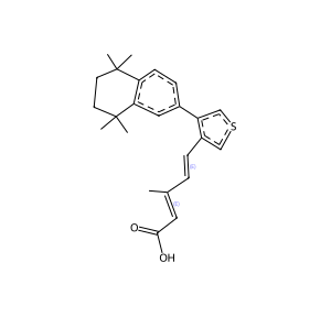 CC(/C=C/c1cscc1-c1ccc2c(c1)C(C)(C)CCC2(C)C)=C\C(=O)O